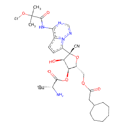 CCOC(C)(C)C(=O)Nc1ncnn2c([C@]3(C#N)O[C@H](COC(=O)CC4CCCCCC4)[C@@H](OC(=O)[C@H](N)C(C)(C)C)[C@H]3O)ccc12